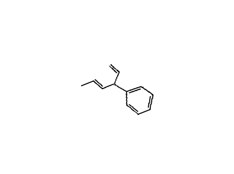 C=C[C](C=CC)c1ccccc1